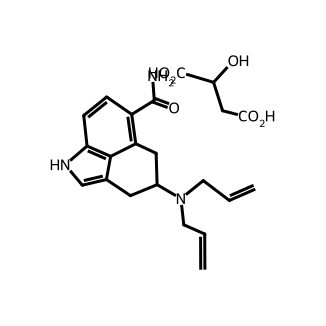 C=CCN(CC=C)C1Cc2c[nH]c3ccc(C(N)=O)c(c23)C1.O=C(O)CC(O)C(=O)O